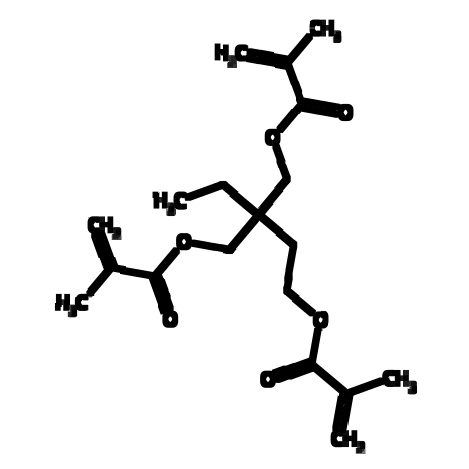 C=C(C)C(=O)OCCC(CC)(COC(=O)C(=C)C)COC(=O)C(=C)C